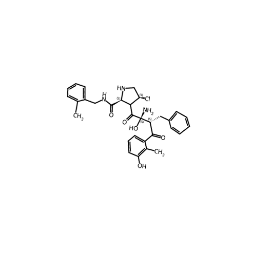 Cc1ccccc1CNC(=O)[C@H]1NC[C@@H](Cl)C1C(=O)[C@@](N)(O)[C@H](Cc1ccccc1)C(=O)c1cccc(O)c1C